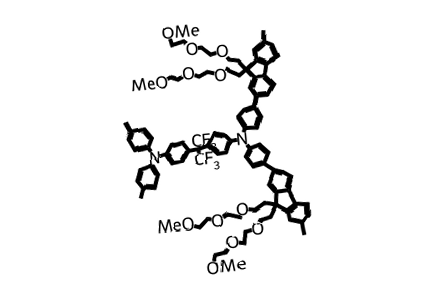 COCCOCCOCCC1(CCOCCOCCOC)c2cc(C)ccc2-c2ccc(-c3ccc(N(c4ccc(-c5ccc6c(c5)C(CCOCCOCCOC)(CCOCCOCCOC)c5cc(C)ccc5-6)cc4)c4ccc(C(c5ccc(N(c6ccc(C)cc6)c6ccc(C)cc6)cc5)(C(F)(F)F)C(F)(F)F)cc4)cc3)cc21